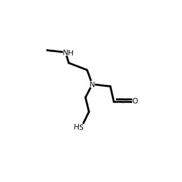 CNCCN(CC=O)CCS